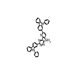 c1ccc(-n2c3ccccc3c3ccc(-c4ccc5c(n4)-c4nc(-c6ccc7c8ccccc8n(-c8ccccc8)c7c6)nnc4[SiH2]5)cc32)cc1